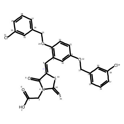 O=C(O)CN1C(=O)/C(=C/c2cc(OCc3cccc(Cl)c3)ccc2OCc2cccc(Cl)c2)SC1=S